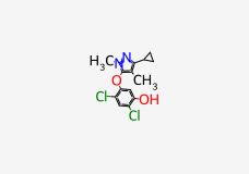 Cc1c(C2CC2)nn(C)c1Oc1cc(O)c(Cl)cc1Cl